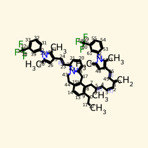 C=C(/C=C\C=C(/C)Cc1c(CCC)ccc2c1Cc1cccc(/C=C/c3cc(C)n(-c4cccc(C(F)(F)F)c4)c3C)[n+]1CC2)/C=C/c1cc(C)n(-c2cccc(C(F)(F)F)c2)c1C